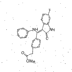 COC(=O)Cc1ccc(C(Nc2ccccc2)=C2C(=O)Nc3cc(F)ccc32)cc1